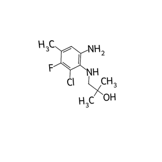 Cc1cc(N)c(NCC(C)(C)O)c(Cl)c1F